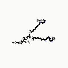 CC/C=C\C/C=C\C/C=C\CCCCCCCC(=O)OCC(COC(=O)CCCCCCC/C=C\C/C=C\CCCCC)COC(=O)N(C)C1CN(CCO)C1